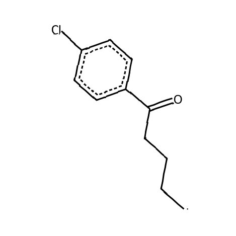 [CH2]CCCC(=O)c1ccc(Cl)cc1